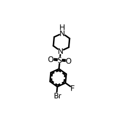 O=S(=O)(c1ccc(Br)c(F)c1)N1CCNCC1